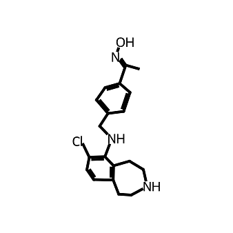 CC(=NO)c1ccc(CNc2c(Cl)ccc3c2CCNCC3)cc1